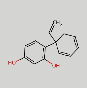 C=CC1(c2ccc(O)cc2O)C=CC=CC1